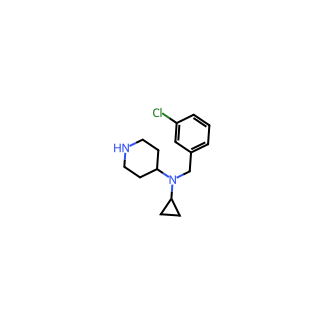 Clc1cccc(CN(C2CCNCC2)C2CC2)c1